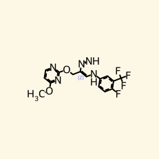 COc1ccnc(OC/C(=C/Nc2ccc(F)c(C(F)(F)F)c2)N=N)n1